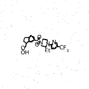 CCC1CN(S(=O)(=O)c2ccc3c(c2)C(COO)CC3)CCN1c1ccc(C(F)(F)F)cn1